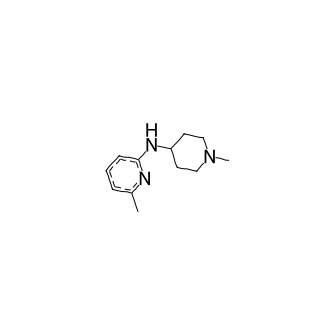 Cc1cccc(NC2CCN(C)CC2)n1